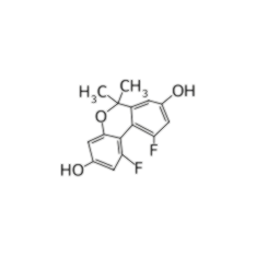 CC1(C)Oc2cc(O)cc(F)c2-c2c(F)cc(O)cc21